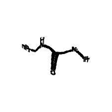 CCCNC(=O)[N]C(C)C